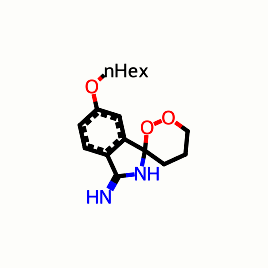 CCCCCCOc1ccc2c(c1)C1(CCCOO1)NC2=N